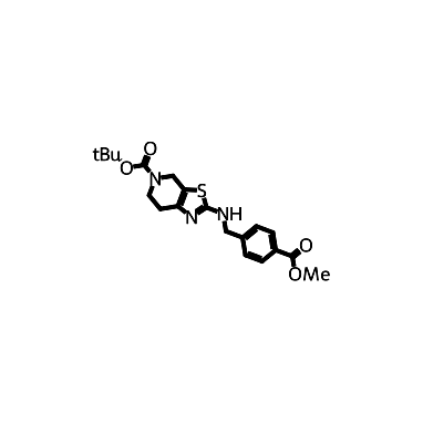 COC(=O)c1ccc(CNc2nc3c(s2)CN(C(=O)OC(C)(C)C)CC3)cc1